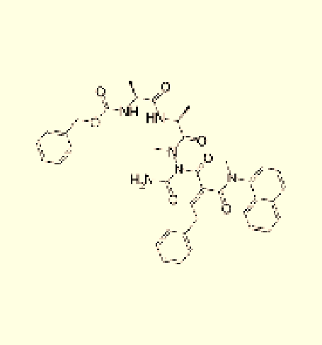 C[C@H](NC(=O)OCc1ccccc1)C(=O)N[C@@H](C)C(=O)N(C)N(C(N)=O)C(=O)/C(=C/Cc1ccccc1)C(=O)N(C)c1cccc2ccccc12